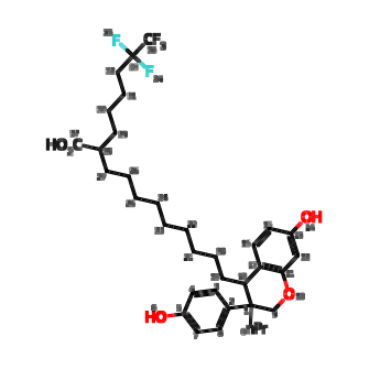 CCCC1(c2ccc(O)cc2)COc2cc(O)ccc2C1CCCCCCCCCC(CCCCC(F)(F)C(F)(F)F)C(=O)O